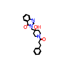 O=C(CCc1ccccc1)N1CCC(O)(Cn2cnc3ccccc3c2=O)CC1